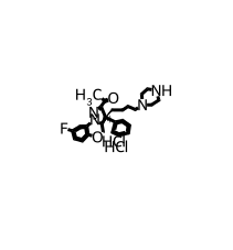 CC(=O)C1=NN2c3cc(F)ccc3OCC2[C@@]1(CCCCN1CCNCC1)c1ccccc1.Cl.Cl